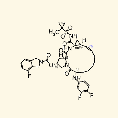 CC1(S(=O)(=O)NC(=O)[C@@]23C[C@H]2/C=C\CCCCC[C@H](Nc2ccc(F)c(F)c2)C(=O)N2C[C@H](OC(=O)N4Cc5cccc(F)c5C4)C[C@H]2C(=O)N3)CC1